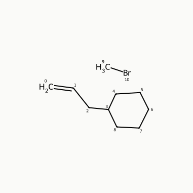 C=CCC1CCCCC1.CBr